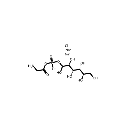 NCC(=O)OP(=O)([O-])OC(O)[C@@H](O)[C@@H](O)[C@H](O)[C@H](O)CO.[Cl-].[Na+].[Na+]